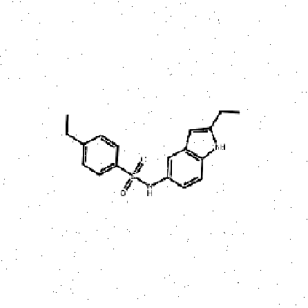 CCc1ccc(S(=O)(=O)Nc2ccc3[nH]c(CC)cc3c2)cc1